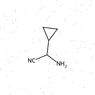 N#CC(N)C1CC1